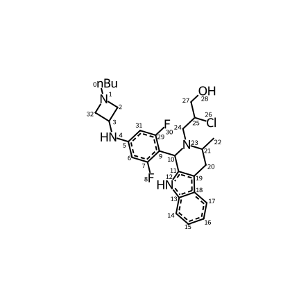 CCCCN1CC(Nc2cc(F)c(C3c4[nH]c5ccccc5c4CC(C)N3CC(Cl)CO)c(F)c2)C1